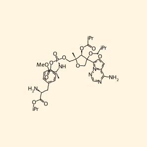 COC(=O)[C@H](C)N[P@@](=O)(OC[C@@]1(C)OCC(OC(=O)C(C)C)(c2ccc3c(N)ncnn23)[C@@H]1OC(=O)C(C)C)Oc1ccc(C[C@H](N)C(=O)OC(C)C)cc1